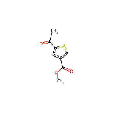 COC(=O)c1csc(C(C)=O)c1